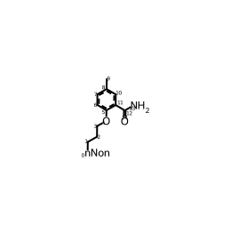 CCCCCCCCCCCCOc1ccc(C)cc1C(N)=O